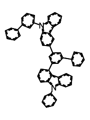 c1ccc(-c2cc(-c3ccc4c(c3)c3ccccc3n4-c3cccc(-c4ccccc4)c3)cc(-c3cccc4c3c3ccccc3n4-c3ccccc3)c2)cc1